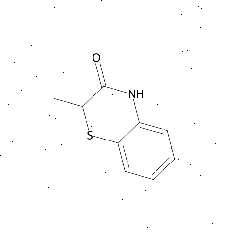 CC1Sc2cc[c]cc2NC1=O